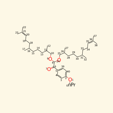 CCCOc1ccc(C(=O)C(OCC(C)CCCC(C)CCC=C(C)C)OCC(C)CCCC(C)CCC=C(C)C)cc1